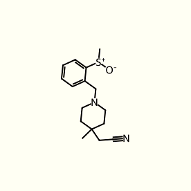 C[S+]([O-])c1ccccc1CN1CCC(C)(CC#N)CC1